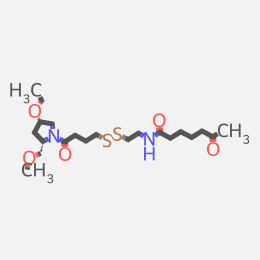 CCO[C@@H]1C[C@@H](COC)N(C(=O)CCCSSCCNC(=O)CCCCC(C)=O)C1